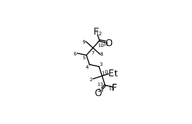 CCC(C)(CCC(C)C(C)(C)C(=O)F)C(=O)F